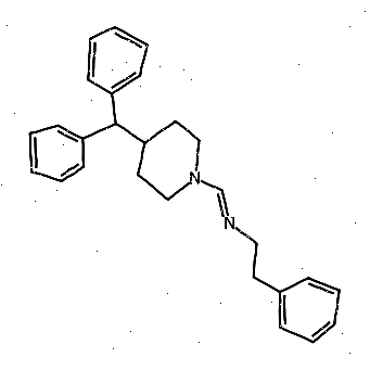 C(=N\CCc1ccccc1)/N1CCC(C(c2ccccc2)c2ccccc2)CC1